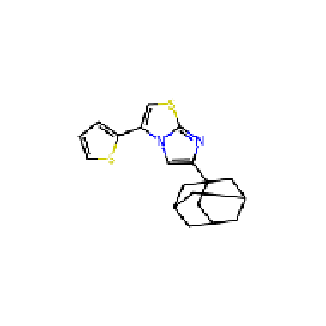 c1csc(-c2csc3nc(C45CC6CC(CC(C6)C4)C5)cn23)c1